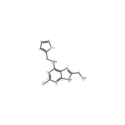 OCc1nc2c(NCc3ccco3)nc(Cl)nc2[nH]1